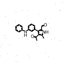 CC(=O)c1c(C)[nH]c(C=O)c1-c1cccc(Nc2ccccc2)c1